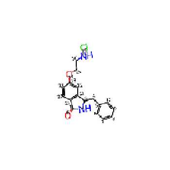 O=C1NC(Cc2ccccc2)c2cc(OCCNCl)ccc21